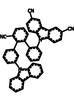 N#Cc1ccc2c(c1)c1cc(C#N)ccc1n2-c1ccccc1-c1cccc(C#N)c1-c1cccc(-n2c3ccccc3c3ccccc32)c1